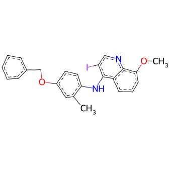 COc1cccc2c(Nc3ccc(OCc4ccccc4)cc3C)c(I)cnc12